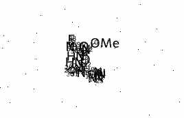 COCCN1C[C@@H](NC(=O)Nc2c(C)c(-c3cnc4c(c3)nnn4C)nn2-c2ccccc2)[C@H](c2ccnc(F)c2)O1